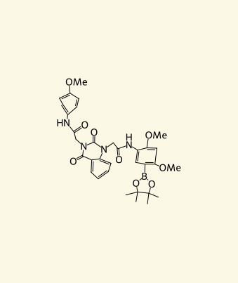 COc1ccc(NC(=O)Cn2c(=O)c3ccccc3n(CC(=O)Nc3cc(B4OC(C)(C)C(C)(C)O4)c(OC)cc3OC)c2=O)cc1